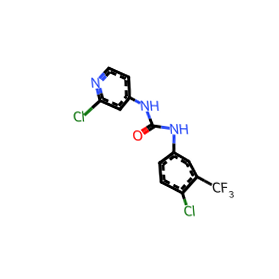 O=C(Nc1ccnc(Cl)c1)Nc1ccc(Cl)c(C(F)(F)F)c1